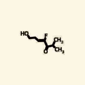 CC(C)C(=O)/C(F)=C/CCO